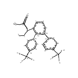 CCC(C(=O)O)c1cccc(-c2ccc(C(F)(F)F)cc2)c1-c1ccc(C(F)(F)F)cc1